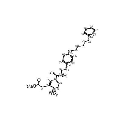 COC(=O)CC1=CC(C(=O)NCCc2ccc(OCCCCCc3ccccc3)cc2)=CCC1[N+](=O)[O-]